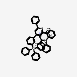 C=C(C#N)/C=C\c1c(C)c2ccccc2n1-c1ccccc1-c1nc(-c2ccccc2)cc(-c2cccc([Si](c3ccccc3)(c3ccccc3)c3ccccc3)c2)n1